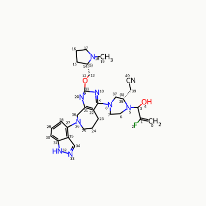 C=C(F)C(O)N1CCN(c2nc(OC[C@@H]3CCCN3C)nc3c2CCCN(c2cccc4[nH]ncc24)C3)C[C@@H]1CC#N